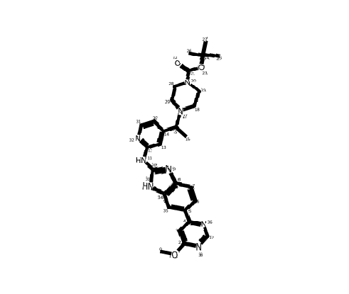 COc1cc(-c2ccc3nc(Nc4cc(C(C)N5CCN(C(=O)OC(C)(C)C)CC5)ccn4)[nH]c3c2)ncn1